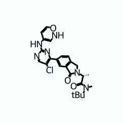 C[C@H](C(=O)N(C)C(C)(C)C)N1Cc2ccc(-c3nc(NC4=CNOC=C4)ncc3Cl)cc2C1=O